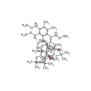 Cc1c(C)c(C([SiH2]O[SiH3])=C(O[Si](O[Si](C)(C)C)(O[Si](C)(C)C)O[Si](C)(C)C)[Si](C)(C)O[Si](C)(C(O[Si](C)(C)C)O[Si](C)(C)C)C(C)(C)O[Si](C)(C)C)c([SiH2]O[SiH3])c([SiH2]O[SiH3])c1[SiH2]O[SiH3]